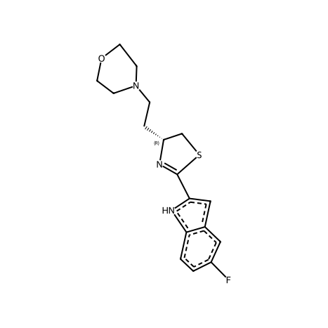 Fc1ccc2[nH]c(C3=N[C@H](CCN4CCOCC4)CS3)cc2c1